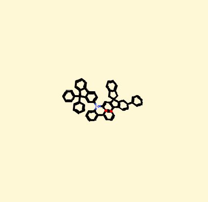 C1=CC(c2ccccc2)CC2=C1c1ccc(N(c3ccc4c(c3)C(c3ccccc3)(c3ccccc3)c3ccccc3-4)c3ccccc3-c3ccccc3)cc1C21Cc2ccccc2C1